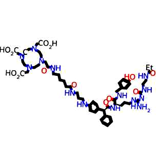 CCC(=O)NCCNC(=O)/N=C(/N)NCCC[C@@H](NC(=O)[C@@H](c1ccccc1)c1ccc(NCCCNC(=O)CCCCCNC(=O)CN2CCN(CC(=O)O)CCN(CC(=O)O)CCN(CC(=O)O)CC2)cc1)C(=O)NCc1ccc(O)cc1